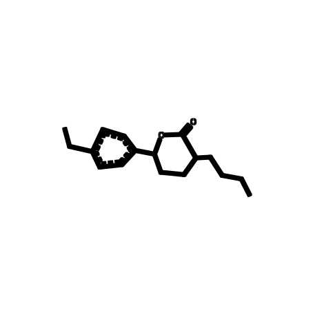 CCCCC1CCC(c2ccc(CC)cc2)OC1=O